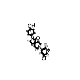 O=C1N(C2CCC(O)CC2)CCC12CCN(c1cc(Cl)cnc1F)CC2